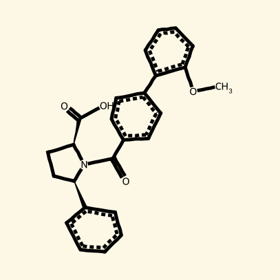 COc1ccccc1-c1ccc(C(=O)N2[C@@H](c3ccccc3)CC[C@H]2C(=O)O)cc1